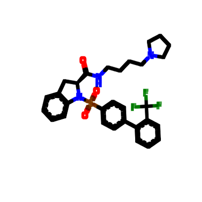 O=C(NCCCCN1CCCC1)[C@@H]1Cc2ccccc2N1S(=O)(=O)c1ccc(-c2ccccc2C(F)(F)F)cc1